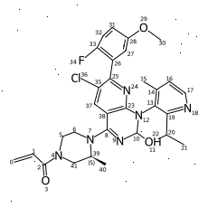 C=CC(=O)N1CCN(C2=NC(O)N(c3c(C)ccnc3C(C)C)c3nc(-c4cc(OC)ccc4F)c(Cl)cc32)[C@@H](C)C1